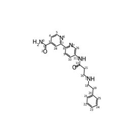 NC(=O)c1ccnc(-c2ccc(NC(=O)CCNCCc3ccccc3)cn2)c1